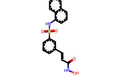 O=C(/C=C/c1cccc(S(=O)(=O)Nc2cccc3ccccc23)c1)NO